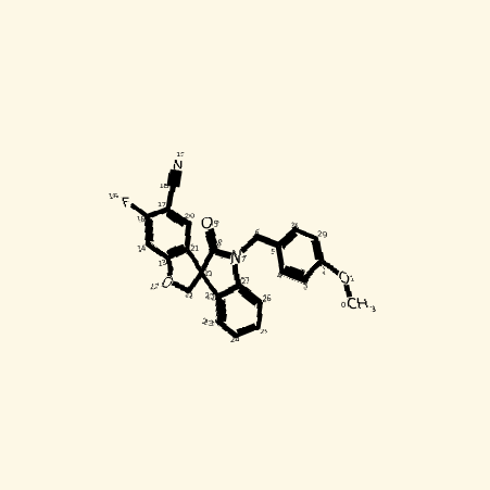 COc1ccc(CN2C(=O)C3(COc4cc(F)c(C#N)cc43)c3ccccc32)cc1